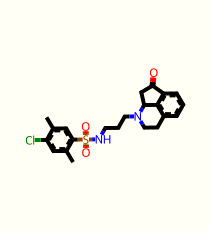 Cc1cc(S(=O)(=O)NCCCN2CCc3cccc4c3C2CC4=O)c(C)cc1Cl